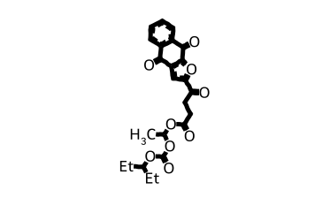 CCC(CC)OC(=O)OC(C)OC(=O)CCC(=O)c1cc2c(o1)C(=O)c1ccccc1C2=O